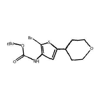 CC(C)(C)OC(=O)Nc1cc(C2CCOCC2)sc1Br